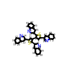 c1ccc2ncc(-c3cc(-c4cc(-c5cnc6ccccc6c5)sc4-c4cnc5ccccc5c4)c(-c4cnc5ccccc5c4)s3)cc2c1